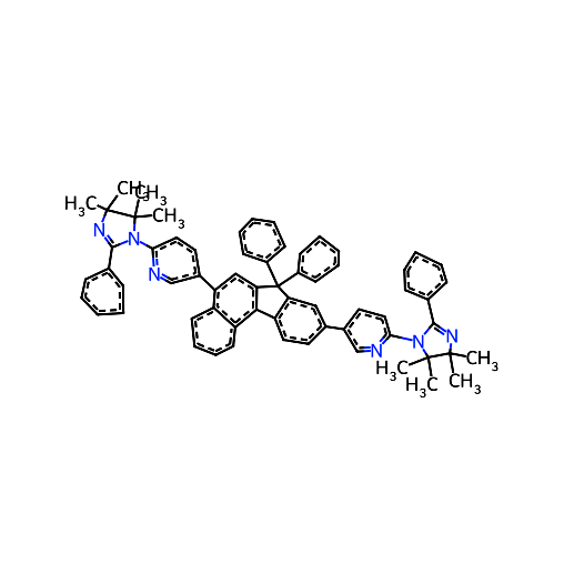 CC1(C)N=C(c2ccccc2)N(c2ccc(-c3ccc4c(c3)C(c3ccccc3)(c3ccccc3)c3cc(-c5ccc(N6C(c7ccccc7)=NC(C)(C)C6(C)C)nc5)c5ccccc5c3-4)cn2)C1(C)C